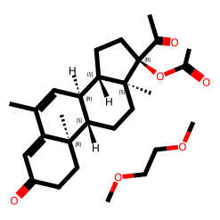 CC(=O)O[C@]1(C(C)=O)CC[C@H]2[C@@H]3C=C(C)C4=CC(=O)CC[C@]4(C)[C@H]3CC[C@@]21C.COCCOC